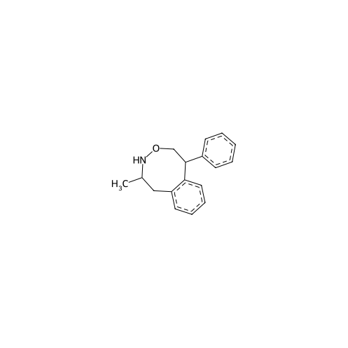 CC1Cc2ccccc2C(c2ccccc2)CON1